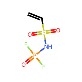 C=CS(=O)(=O)NP(=O)(F)F